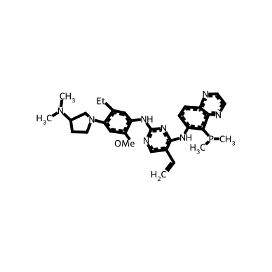 C=Cc1cnc(Nc2cc(CC)c(N3CCC(N(C)C)C3)cc2OC)nc1Nc1ccc2nccnc2c1P(C)C